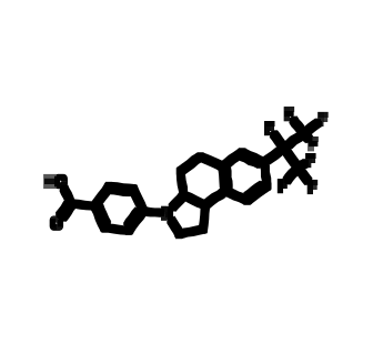 O=C(O)c1ccc(N2CCC3c4ccc(C(F)(C(F)(F)F)C(F)(F)F)cc4CCC32)cc1